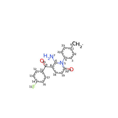 [CH2]c1ccc(-n2c(N)c(C(=O)c3ccc(F)cc3)ccc2=O)cc1